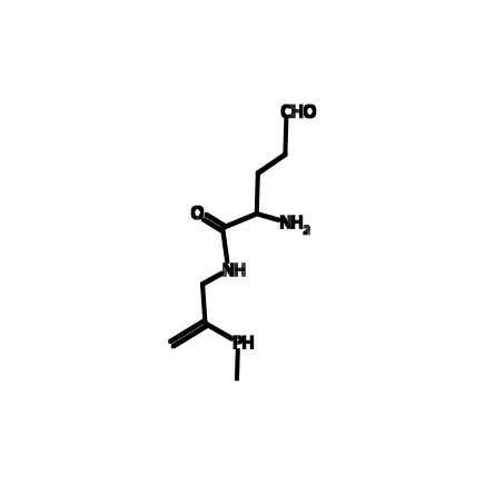 C=C(CNC(=O)C(N)CCC=O)PC